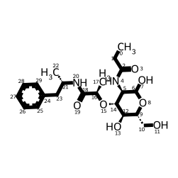 CCC(=O)N[C@H]1C(O)O[C@H](CO)[C@@H](O)[C@@H]1O[C@H](C)C(=O)N[C@@H](C)Cc1ccccc1